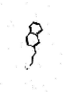 CCCCc1[c]c2ccccc2cc1